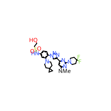 CNc1cc(-c2cn(-c3ccc(NS(=O)(=O)CCO)cc3N3CCC4(CC3)CC4)nn2)nc(N2CCC(F)(F)CC2)n1